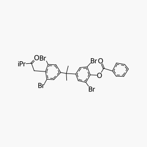 CC(C)C(=O)Cc1c(Br)cc(C(C)(C)c2cc(Br)c(OC(=O)c3ccccc3)c(Br)c2)cc1Br